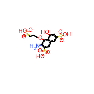 Nc1c(S(=O)(=O)O)cc2cc(S(=O)(=O)O)cc(O)c2c1OCCCS(=O)(=O)O